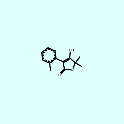 Cc1ccccc1C1=C(O)C(C)(C)NC1=O